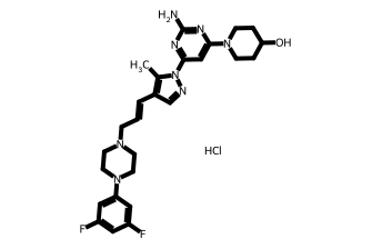 Cc1c(/C=C/CN2CCN(c3cc(F)cc(F)c3)CC2)cnn1-c1cc(N2CCC(O)CC2)nc(N)n1.Cl